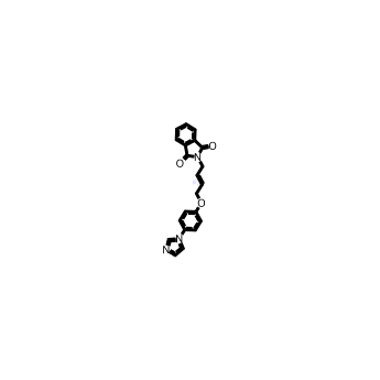 O=C1c2ccccc2C(=O)N1C/C=C/COc1ccc(-n2ccnc2)cc1